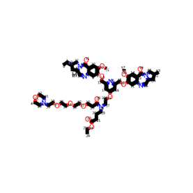 C/C=C1\C[C@H]2C=Nc3cc(OCc4cc(OCCN(CCCC(=O)OCC)C(=O)CCOCCOCCOCCN5CCOCC5)cc(COc5cc6c(cc5OC)C(=O)N5CC(C)CC5C=N6)n4)c(OC)cc3C(=O)N2C1